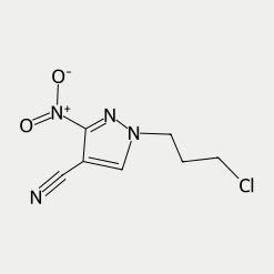 N#Cc1cn(CCCCl)nc1[N+](=O)[O-]